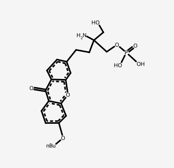 CCCCOc1ccc2c(=O)c3ccc(CCC(N)(CO)COP(=O)(O)O)cc3oc2c1